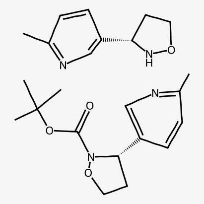 Cc1ccc([C@@H]2CCON2)cn1.Cc1ccc([C@@H]2CCON2C(=O)OC(C)(C)C)cn1